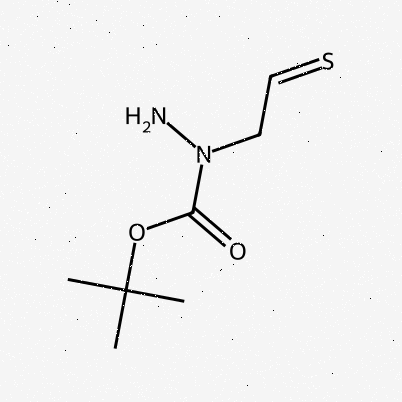 CC(C)(C)OC(=O)N(N)CC=S